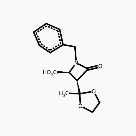 CC1([C@@H]2C(=O)N(Cc3ccccc3)[C@@H]2C(=O)O)OCCO1